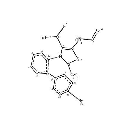 CC1SC(NC=O)=C(C(F)F)N1c1ccccc1-c1ccc(Br)cc1